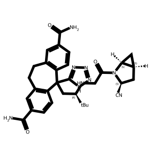 CC(C)(C)[C@@H](CC1(c2nnn[nH]2)c2ccc(C(N)=O)cc2CCc2cc(C(N)=O)ccc21)NCC(=O)N1[C@H](C#N)C[C@@H]2C[C@@H]21